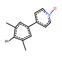 Cc1cc(-c2cc[n+]([O-])cc2)cc(C)c1C(C)C